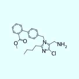 CCCCc1nc(Cl)c(CN)n1Cc1ccc(-c2ccccc2C(=O)OC)cc1